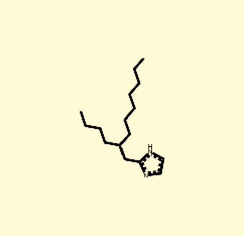 CCCCCCCC(CCCC)Cc1ncc[nH]1